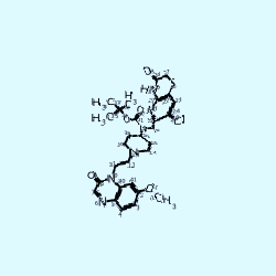 COc1ccc2ncc(=O)n(CCN3CCC(N(Cc4nc5c(cc4Cl)SCC(=O)N5)C(=O)OC(C)(C)C)CC3)c2c1